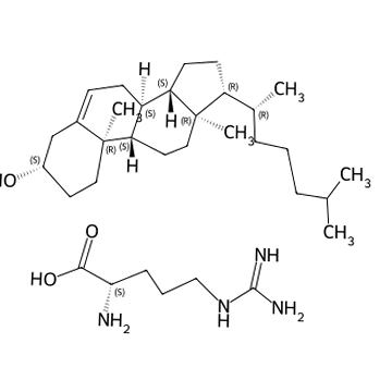 CC(C)CCC[C@@H](C)[C@H]1CC[C@H]2[C@@H]3CC=C4C[C@@H](O)CC[C@]4(C)[C@H]3CC[C@]12C.N=C(N)NCCC[C@H](N)C(=O)O